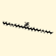 CCCCCSCSCCCCCCCCC(CCCCCCCCSCSCCCCC)OS(C)(=O)=O